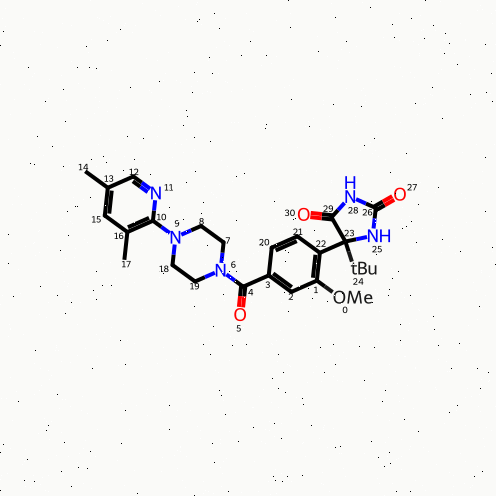 COc1cc(C(=O)N2CCN(c3ncc(C)cc3C)CC2)ccc1C1(C(C)(C)C)NC(=O)NC1=O